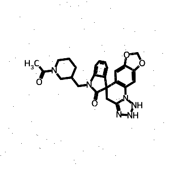 CC(=O)N1CCCC(CN2C(=O)C3(CC4=NNNN4c4cc5c(cc43)OCO5)c3ccccc32)C1